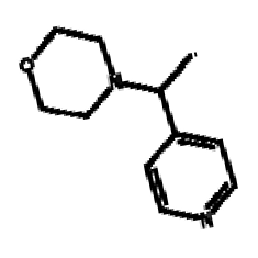 [CH2]C(c1ccncc1)N1CCOCC1